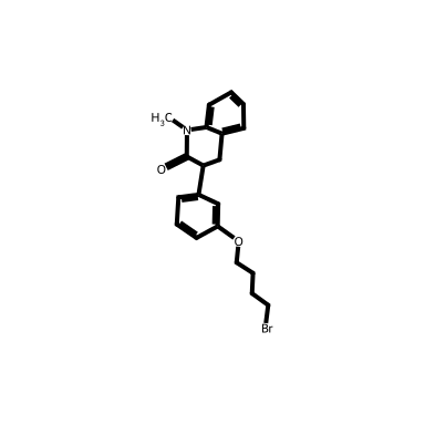 CN1C(=O)C(c2cccc(OCCCCBr)c2)Cc2ccccc21